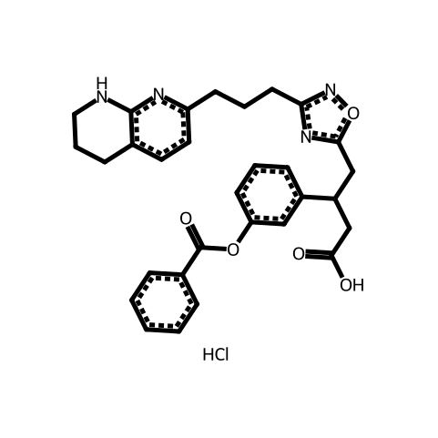 Cl.O=C(O)CC(Cc1nc(CCCc2ccc3c(n2)NCCC3)no1)c1cccc(OC(=O)c2ccccc2)c1